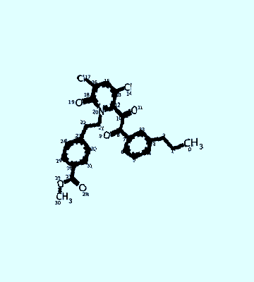 CCCc1cccc(C(=O)C(=O)c2c(Cl)cc(Cl)c(=O)n2CCc2ccc(C(=O)OC)cc2)c1